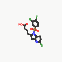 O=C(O)CCCc1cc2nc(Cl)ccc2n1S(=O)(=O)c1ccc(F)c(F)c1